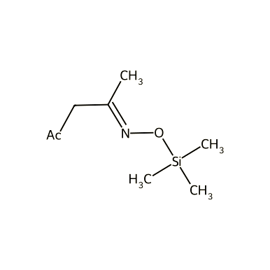 CC(=O)CC(C)=NO[Si](C)(C)C